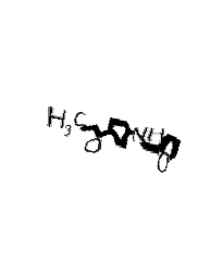 CCCC(=O)c1ccc(NCc2ccco2)cc1